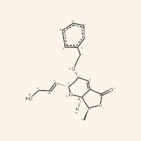 C[C@@H]1OC(=O)C2=C[C@@H](OCc3ccccc3)[C@@H](/C=C/CO)O[C@@H]21